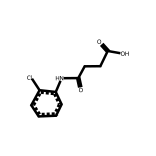 O=C(O)CCC(=O)Nc1c[c]ccc1Cl